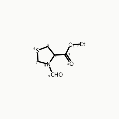 CCOC(=O)C1CSCN1C=O